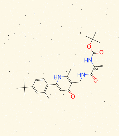 Cc1cc(C(C)(C)C)ccc1-c1cc(=O)c(CNC(=O)[C@H](C)NC(=O)OC(C)(C)C)c(C)[nH]1